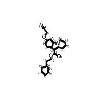 N#CCOc1ccc2c(C(=O)OCCc3ccccc3)c3ccccn3c2c1